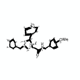 COc1ccc(CNC(=O)[C@H](CSCC2CCCCC2)NC(=O)c2ccncc2)cc1